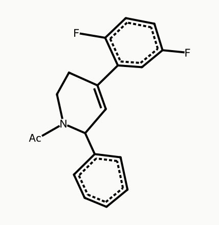 CC(=O)N1CCC(c2cc(F)ccc2F)=CC1c1ccccc1